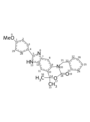 COc1ccc(-c2nc3cc4c(cc3[nH]2)C(C)(C)OC(=O)N4Cc2ccccc2)cc1